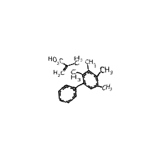 C=C(C)C(=O)O.Cc1cc(-c2ccccc2)c(C)c(C)c1C